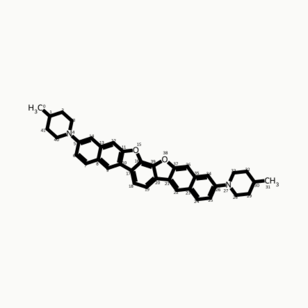 CC1CCN(c2ccc3cc4c(cc3c2)oc2c4ccc3c4cc5ccc(N6CCC(C)CC6)cc5cc4oc32)CC1